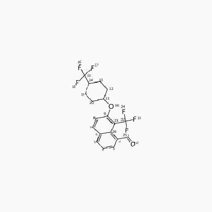 O=Cc1cccc2ccc(OC3CCC(C(F)(F)F)CC3)c(C(F)(F)F)c12